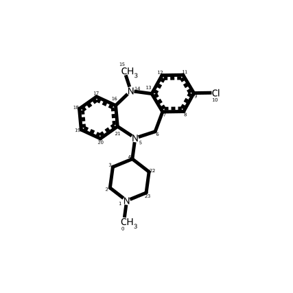 CN1CCC(N2Cc3cc(Cl)ccc3N(C)c3ccccc32)CC1